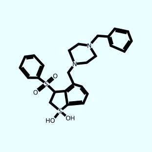 O=S(=O)(c1ccccc1)C1CS(O)(O)c2cccc(CN3CCN(Cc4ccccc4)CC3)c21